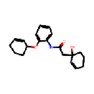 O=C(CC1(O)C=CCCC1)Nc1ccccc1OC1C=CCCC1